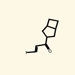 O=C(C=CI)C1CC2CCC2C1